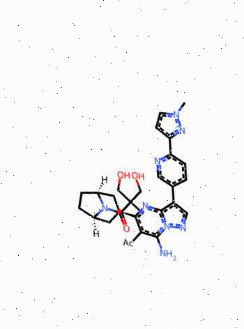 CC(=O)c1c([C@H]2C[C@H]3CC[C@@H](C2)N3C(=O)C(C)(CO)CO)nc2c(-c3ccc(-c4ccn(C)n4)nc3)cnn2c1N